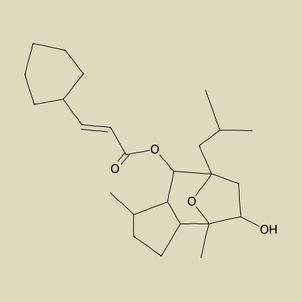 CC(C)CC12CC(O)C(C)(O1)C1CCC(C)C1C2OC(=O)/C=C/C1CCCCC1